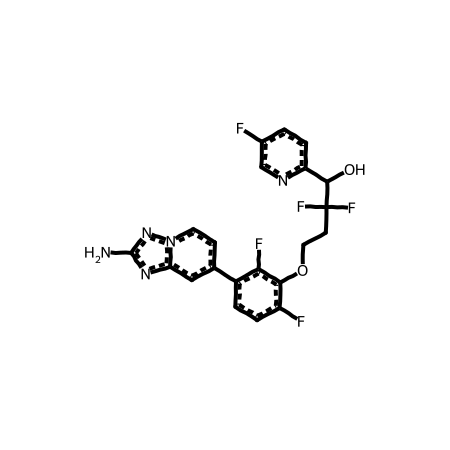 Nc1nc2cc(-c3ccc(F)c(OCCC(F)(F)C(O)c4ccc(F)cn4)c3F)ccn2n1